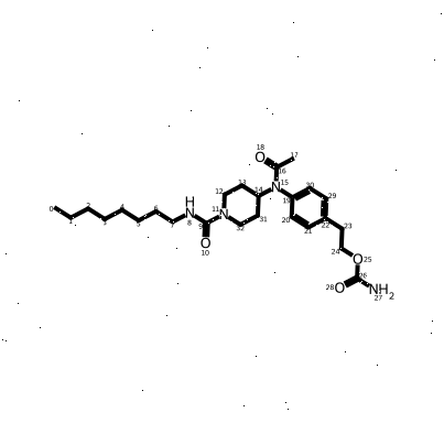 CCCCCCCCNC(=O)N1CCC(N(C(C)=O)c2ccc(CCOC(N)=O)cc2)CC1